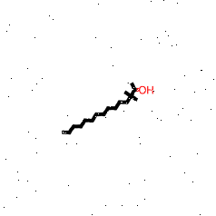 [CH2]C(O)C(C)(C)CCCCCCCCCCCC